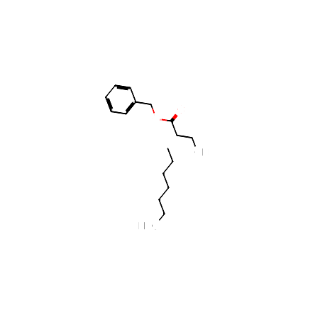 CCCCCCC[C@@H](CC)C(=O)OCc1ccccc1